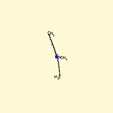 CCCCCCCCCCCCCCCCCCC[n+]1ccn(CCCCCCCCCCCCCCCC)c1CCC